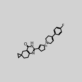 O=c1[nH]c(C2=C[C@H](N3CC=C(c4ccc(F)cc4)CC3)CC2)nc2c1CC1(CC2)CC1